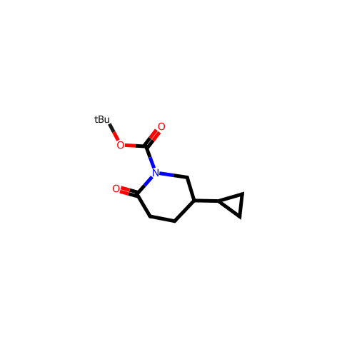 CC(C)(C)OC(=O)N1CC(C2CC2)CCC1=O